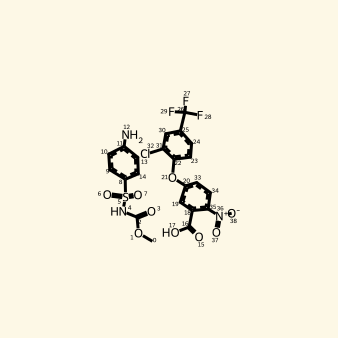 COC(=O)NS(=O)(=O)c1ccc(N)cc1.O=C(O)c1cc(Oc2ccc(C(F)(F)F)cc2Cl)ccc1[N+](=O)[O-]